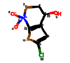 [O-][N+]1([O-])SC[C@@H](O)c2cc(Cl)sc21